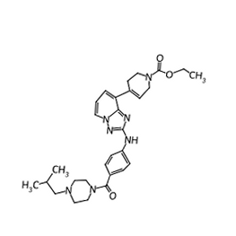 CCOC(=O)N1CC=C(c2cccn3nc(Nc4ccc(C(=O)N5CCN(CC(C)C)CC5)cc4)nc23)CC1